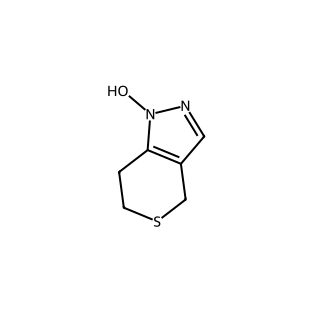 On1ncc2c1CCSC2